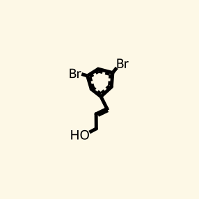 OCC=Cc1cc(Br)cc(Br)c1